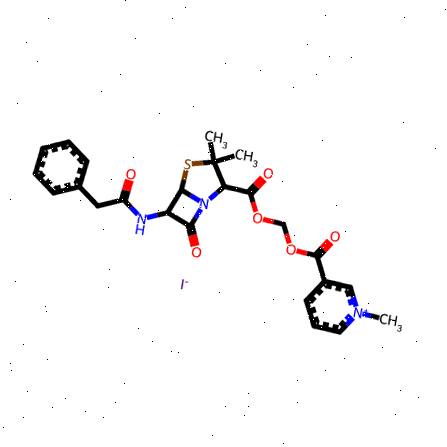 C[n+]1cccc(C(=O)OCOC(=O)C2N3C(=O)C(NC(=O)Cc4ccccc4)C3SC2(C)C)c1.[I-]